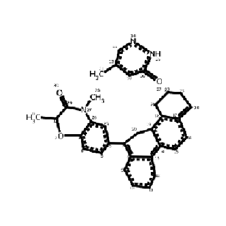 CC1Oc2ccc(C3=c4ccccc4=c4ccc5c(c4C3)CCCC=5)cc2N(C)C1=O.Cc1cn[nH]c(=O)c1